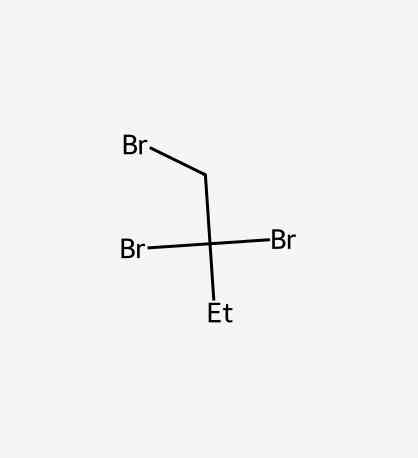 CCC(Br)(Br)CBr